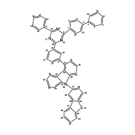 c1ccc(-c2ccc(-c3nc(-c4ccccc4)nc(-c4cccc(-c5cccc6c5c5ccccc5n6-c5ccc6sc7ccccc7c6c5)c4)n3)cc2)cc1